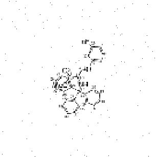 COC(=O)[C@@H](COc1cccc(F)c1)NC(c1ccccc1)(c1ccccc1)c1ccccc1